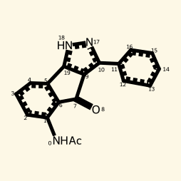 CC(=O)Nc1cccc2c1C(=O)c1c(-c3ccccc3)n[nH]c1-2